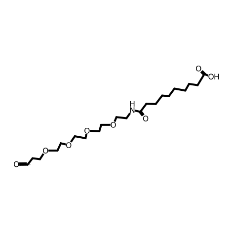 O=[C]CCOCCOCCOCCOCCNC(=O)CCCCCCCCC(=O)O